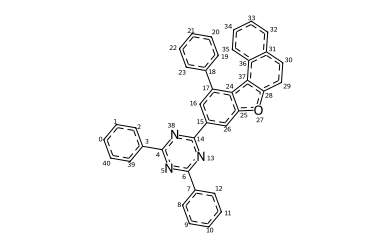 c1ccc(-c2nc(-c3ccccc3)nc(-c3cc(-c4ccccc4)c4c(c3)oc3ccc5ccccc5c34)n2)cc1